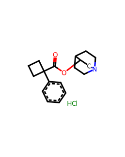 Cl.O=C(OC1CN2CCC1CC2)C1(c2ccccc2)CCC1